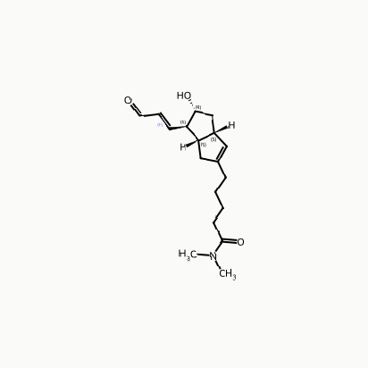 CN(C)C(=O)CCCCC1=C[C@H]2C[C@@H](O)[C@H](/C=C/C=O)[C@H]2C1